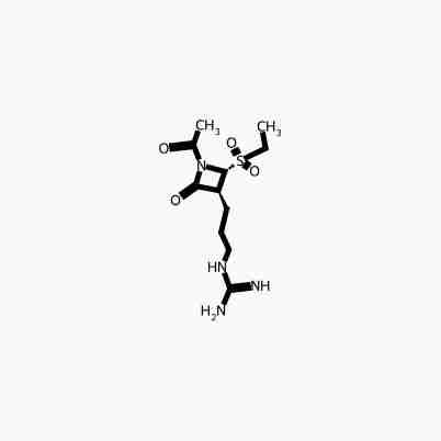 CCS(=O)(=O)[C@@H]1[C@@H](CCCNC(=N)N)C(=O)N1C(C)=O